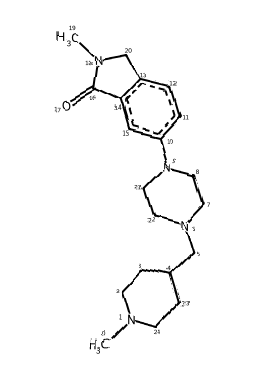 CN1CCC(CN2CCN(c3ccc4c(c3)C(=O)N(C)C4)CC2)CC1